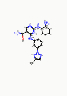 Cc1cnn(-c2cccc(Nc3nc(N[C@@H]4CCCC[C@@H]4N)ncc3C(N)=O)c2)n1